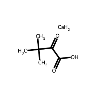 CC(C)(C)C(=O)C(=O)O.[CaH2]